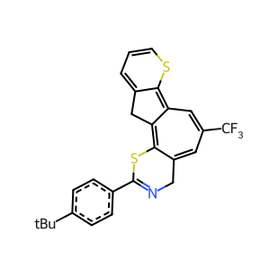 CC(C)(C)c1ccc(C2=NCC3=CC(C(F)(F)F)=CC4=C5SC=CC=C5CC4=C3S2)cc1